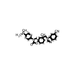 CN(C)c1cnc(N2C[C@@]3(CCC[C@](C)(Cn4cnc5ccc(C#N)cc54)C3)OC2=O)cn1